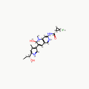 CC[C@@H](O)c1cc(C)c(C2=Cc3cnc(NC(=O)[C@@H]4C[C@@H]4F)cc3N(C)C2O)cn1